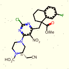 COC(=O)C1(Cc2nc(Cl)nc(N3CCN(C(=O)O)[C@@H](CC#N)C3)c2[N+](=O)[O-])CCCc2ccc(F)cc21